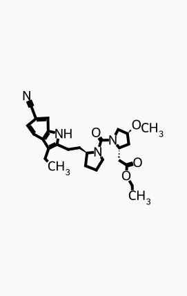 CCOC(=O)C[C@H]1C[C@@H](OC)CN1C(=O)N1CCC[C@H]1CCc1[nH]c2cc(C#N)ccc2c1CC